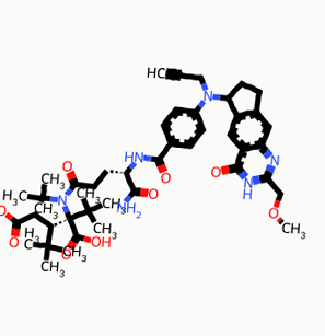 C#CCN(c1ccc(C(=O)N[C@@H](CCC(=O)N(C(C)(C)C)[C@@](C(=O)O)(C(CC(=O)O)C(C)(C)C)C(C)(C)C)C(N)=O)cc1)C1CCc2cc3nc(COC)[nH]c(=O)c3cc21